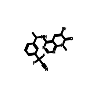 CC(Nc1ncnc2c1cc(Br)c(=O)n2C)c1cccc(C(F)(F)C#N)c1